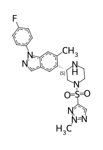 Cc1cc2c(cnn2-c2ccc(F)cc2)cc1[C@H]1CN(S(=O)(=O)c2cnn(C)n2)CCN1